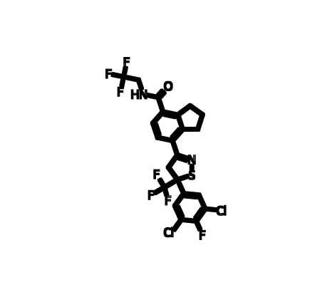 O=C(NCC(F)(F)F)c1ccc(C2=NSC(c3cc(Cl)c(F)c(Cl)c3)(C(F)(F)F)C2)c2c1CCC2